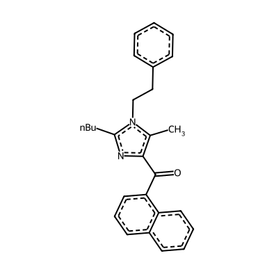 CCCCc1nc(C(=O)c2cccc3ccccc23)c(C)n1CCc1ccccc1